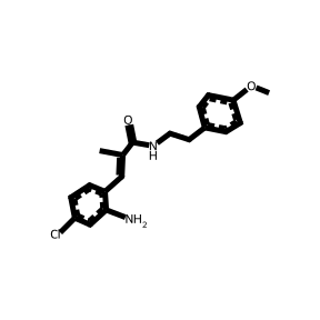 COc1ccc(CCNC(=O)C(C)=Cc2ccc(Cl)cc2N)cc1